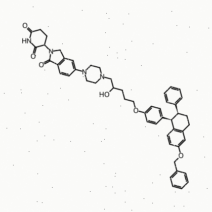 O=C1CCC(N2Cc3cc(N4CCN(CC(O)CCCOc5ccc([C@@H]6c7ccc(OCc8ccccc8)cc7CC[C@@H]6c6ccccc6)cc5)CC4)ccc3C2=O)C(=O)N1